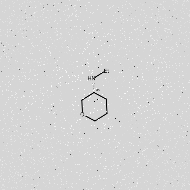 CCN[C@@H]1CCCOC1